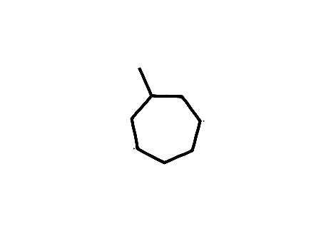 CC1C[CH]CC[CH]C1